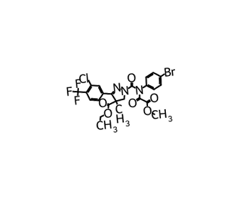 CCOC(=O)C1(C)CN(C(=O)N(C(=O)C(=O)OC)c2ccc(Br)cc2)N=C1c1ccc(C(F)(F)F)c(Cl)c1